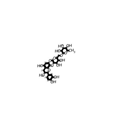 CC1OC(OCC2OC(Oc3cc(O)c4c(c3)OC(c3ccc(O)c(O)c3)C(O)C4)C(O)C(O)C2O)C(O)C(O)C1O